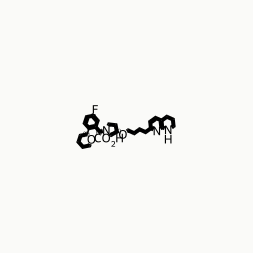 O=C(O)[C@@H](c1cc(F)ccc1[C@@H]1CCCCO1)N1CC[C@H](OCCCCc2ccc3c(n2)NCCC3)C1